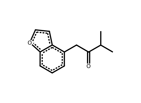 CC(C)C(=O)Cc1cccc2occc12